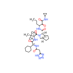 CCCC(NC(=O)[C@@H]1[C@H]2CCC[C@H]2CN1C(=O)[C@@H](NC(=O)[C@@H](NC(=O)Cc1nnn[nH]1)C1CCCCC1)C(C)(C)C)C(=O)C(=O)NC1CC1